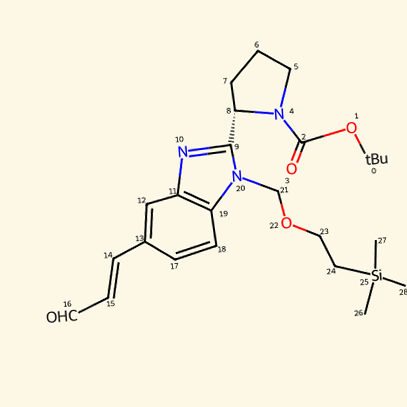 CC(C)(C)OC(=O)N1CCC[C@H]1c1nc2cc(/C=C/C=O)ccc2n1COCC[Si](C)(C)C